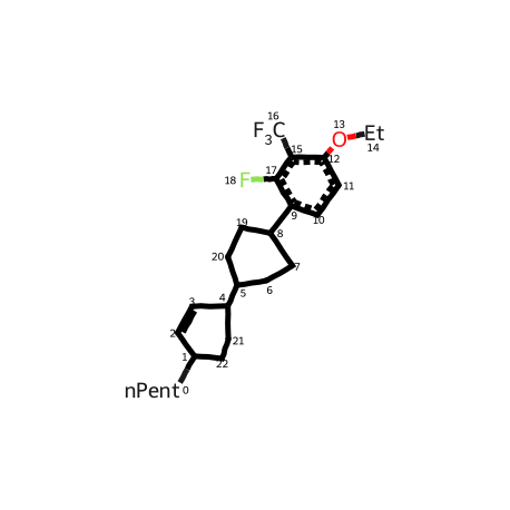 CCCCCC1C=CC(C2CCC(c3ccc(OCC)c(C(F)(F)F)c3F)CC2)CC1